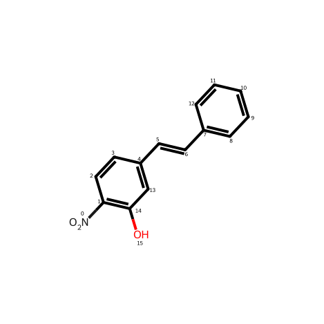 O=[N+]([O-])c1ccc(/C=C/c2ccccc2)cc1O